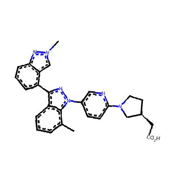 Cc1cccc2c(-c3cccc4nn(C)cc34)nn(-c3ccc(N4CC[C@@H](CC(=O)O)C4)nc3)c12